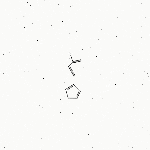 C1=CCC=C1.C=CC(N)=O